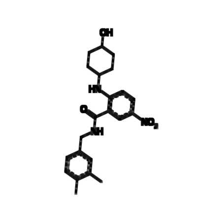 Cc1ccc(CNC(=O)c2cc([N+](=O)[O-])ccc2NC2CCC(O)CC2)cc1C